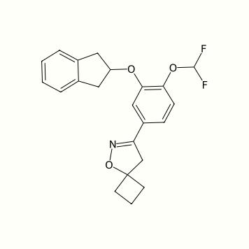 FC(F)Oc1ccc(C2=NOC3(CCC3)C2)cc1OC1Cc2ccccc2C1